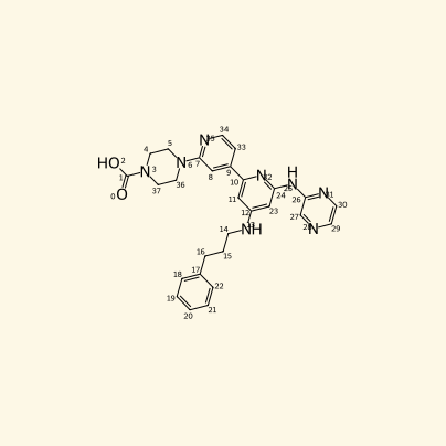 O=C(O)N1CCN(c2cc(-c3cc(NCCCc4ccccc4)cc(Nc4cnccn4)n3)ccn2)CC1